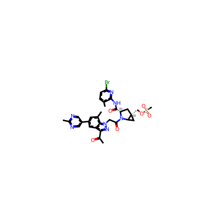 CC(=O)c1nn(CC(=O)N2C3C[C@]3(COS(C)(=O)=O)C[C@H]2C(=O)Nc2nc(Br)ccc2C)c2c(C)cc(-c3cnc(C)nc3)cc12